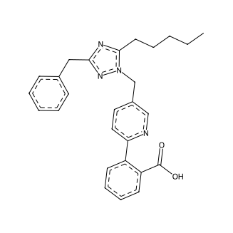 CCCCCc1nc(Cc2ccccc2)nn1Cc1ccc(-c2ccccc2C(=O)O)nc1